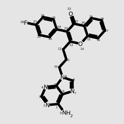 Nc1ncnc2c1ncn2CCCc1oc2ccccc2c(=O)c1-c1ccc(F)cc1